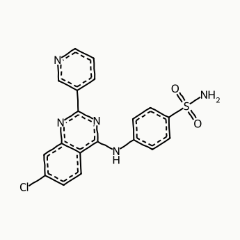 NS(=O)(=O)c1ccc(Nc2nc(-c3cccnc3)nc3cc(Cl)ccc23)cc1